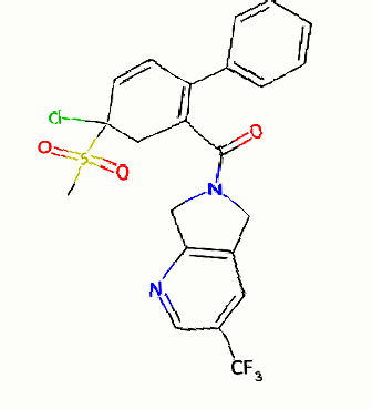 CS(=O)(=O)C1(Cl)C=CC(c2ccccc2)=C(C(=O)N2Cc3cc(C(F)(F)F)cnc3C2)C1